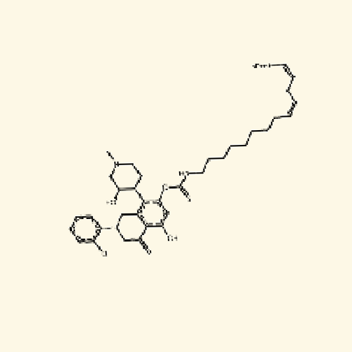 CCCCC/C=C\C/C=C\CCCCCCCCNC(=S)Oc1cc(O)c2c(c1C1CCN(C)C[C@@H]1O)CC(c1ccccc1Cl)CC2=O